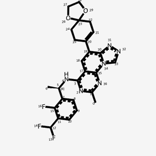 Cc1nc(N[C@H](C)c2cccc(C(F)F)c2F)c2cc(C3=CCC4(CC3)OCCO4)c3nncn3c2n1